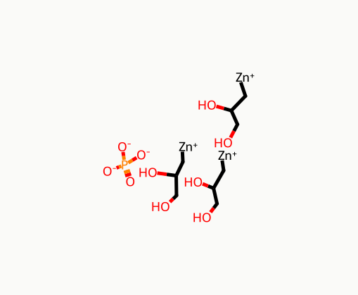 O=P([O-])([O-])[O-].OCC(O)[CH2][Zn+].OCC(O)[CH2][Zn+].OCC(O)[CH2][Zn+]